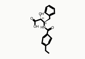 CCc1ccc(C(=O)N[C@H](Cc2ccccc2)[C@@H](O)C(=O)O)cc1